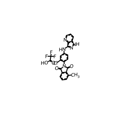 Cc1cccc2c1C(=O)N(c1ccc(Nc3n[nH]c4cccnc34)cc1Cl)C2=O.O=C(O)C(F)(F)F